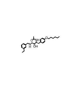 CCCCCCOc1ccc(C[C@H](NC(C)=O)[C@H](O)CNCc2cccc(CC)c2)cc1